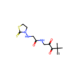 CCC(C)(C)C(=O)C(=O)CNC(=O)CNN1CCSC1=S